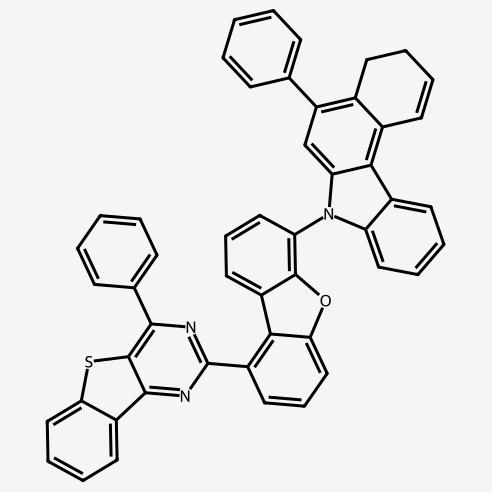 C1=Cc2c(c(-c3ccccc3)cc3c2c2ccccc2n3-c2cccc3c2oc2cccc(-c4nc(-c5ccccc5)c5sc6ccccc6c5n4)c23)CC1